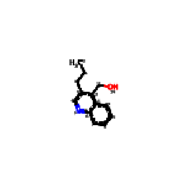 CCCc1cnc2ccccc2c1CO